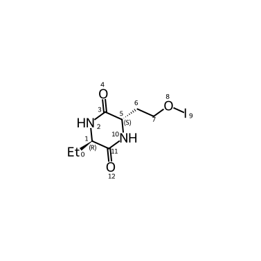 CC[C@H]1NC(=O)[C@H](CCOI)NC1=O